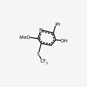 COc1nc(C(C)C)c(O)cc1SC(F)(F)F